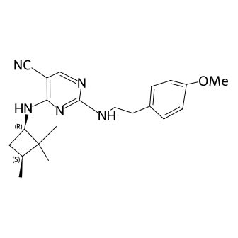 COc1ccc(CCNc2ncc(C#N)c(N[C@@H]3C[C@H](C)C3(C)C)n2)cc1